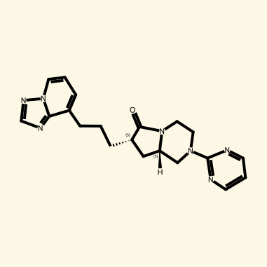 O=C1[C@@H](CCCc2cccn3ncnc23)C[C@H]2CN(c3ncccn3)CCN12